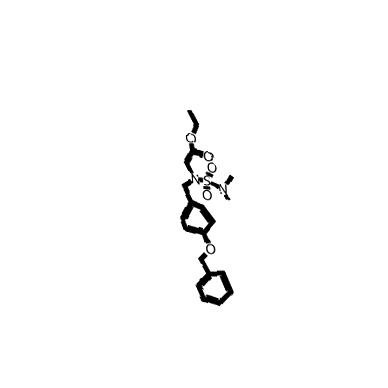 CCOC(=O)CN(Cc1ccc(OCc2ccccc2)cc1)S(=O)(=O)N(C)C